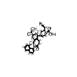 C[S+]([O-])c1nc2c(c(N3CCN(C(=O)O)C(CC#N)C3)n1)CCC(=O)N(c1cccc3cccc(Cl)c13)C2